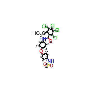 CS(=O)(=O)Nc1ccc(Oc2ccc(NC(=O)c3c(Cl)c(Cl)c(Cl)c(Cl)c3C(=O)O)cc2)cc1